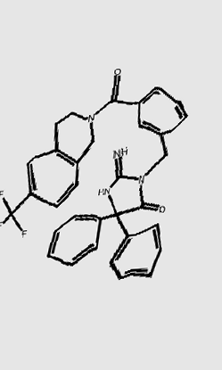 N=C1NC(c2ccccc2)(c2ccccc2)C(=O)N1Cc1cccc(C(=O)N2CCc3cc(C(F)(F)F)ccc3C2)c1